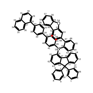 c1ccc(C2(c3ccccc3)c3ccccc3-c3c(N(c4ccc(-c5ccc(-c6cccc7ccccc67)cc5)cc4)c4ccccc4-c4ccc5c(c4)oc4ccccc45)cccc32)cc1